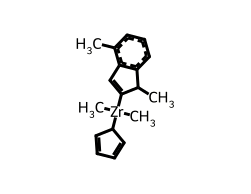 Cc1cccc2c1C=[C]([Zr]([CH3])([CH3])[CH]1C=CC=C1)C2C